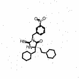 N=C1N[C@](CCC2CCCCC2)(CC2CCCCC2)C(=O)N1Cc1cccc([N+](=O)[O-])c1